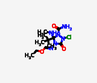 CCOC=NN1C(=O)N(Cl)N(C(N)=O)C1(NC)C(C)(C)C